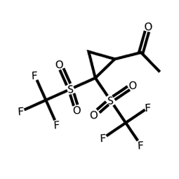 CC(=O)C1CC1(S(=O)(=O)C(F)(F)F)S(=O)(=O)C(F)(F)F